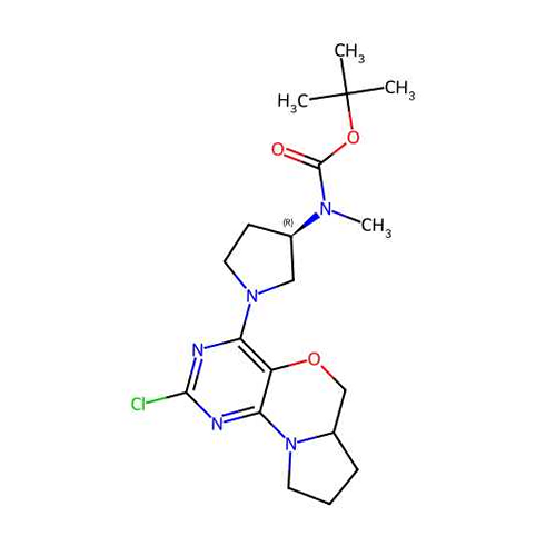 CN(C(=O)OC(C)(C)C)[C@@H]1CCN(c2nc(Cl)nc3c2OCC2CCCN32)C1